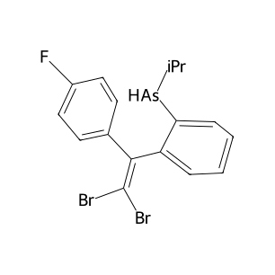 CC(C)[AsH]c1ccccc1C(=C(Br)Br)c1ccc(F)cc1